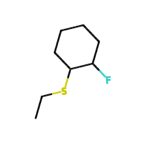 CCSC1CCCCC1F